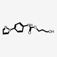 O=C(Nc1ccc(-n2cccn2)cc1)OCCCO